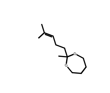 CC(C)=CCCC1(C)OCCCCO1